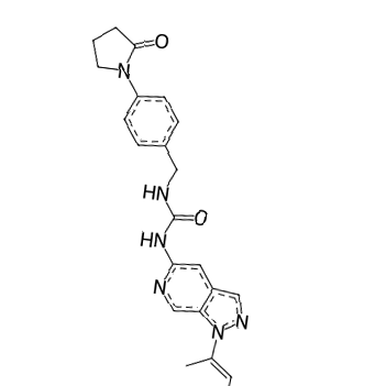 C/C=C(\C)n1ncc2cc(NC(=O)NCc3ccc(N4CCCC4=O)cc3)ncc21